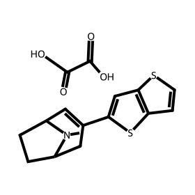 CN1C2C=C(c3cc4sccc4s3)CC1CC2.O=C(O)C(=O)O